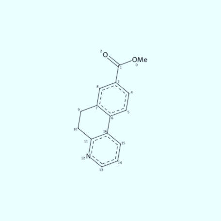 COC(=O)c1ccc2c(c1)CCc1ncccc1-2